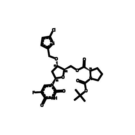 CC(C)(C)OC(=O)N1CCC[C@H]1C(=O)OC[C@H]1O[C@@H](n2cc(F)c(=O)[nH]c2=O)C[C@@H]1OCc1ccc(Cl)s1